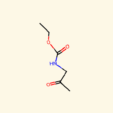 CCOC(=O)NCC(C)=O